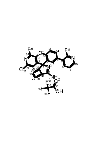 NC1=NC2(c3cc(-c4cccnc4F)ccc3Oc3c2cc(Cl)nc3F)c2ccccc21.O=C(O)C(F)(F)F